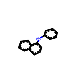 [c]1ccc(Nc2ccccc2)c2ccccc12